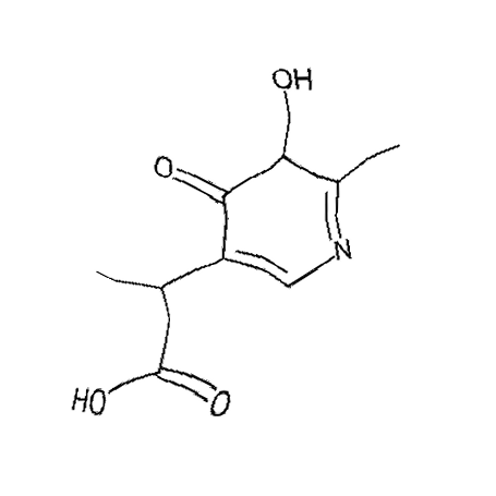 CC1=NC=C(C(C)C(=O)O)C(=O)C1O